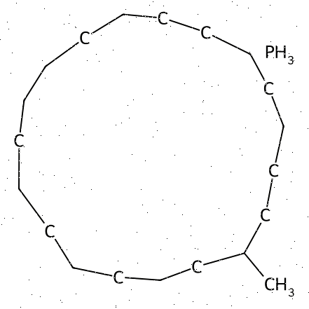 CC1CCCCCCCCCCCCCCCCCC1.P